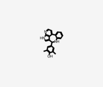 Cc1cc(C2Nc3ccccc3-c3ccnc4[nH]cc2c34)cc(C)c1O